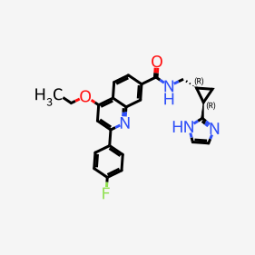 CCOc1cc(-c2ccc(F)cc2)nc2cc(C(=O)NC[C@@H]3C[C@H]3c3ncc[nH]3)ccc12